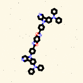 c1ccc(N(c2ccccc2)c2ccc3c(c2)c2cnccc2n3-c2ccc(-c3nc4cc5oc(-c6ccc(-n7c8ccncc8c8cc(N(c9ccccc9)c9ccccc9)ccc87)cc6)nc5cc4o3)cc2)cc1